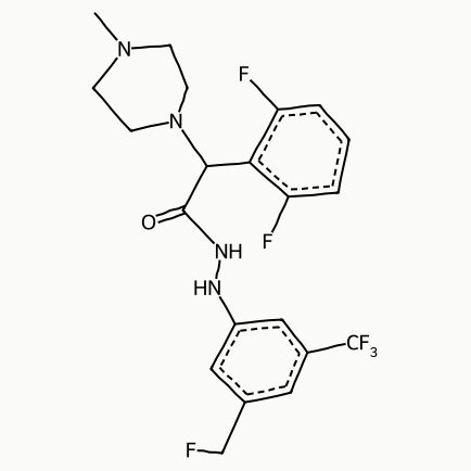 CN1CCN(C(C(=O)NNc2cc(CF)cc(C(F)(F)F)c2)c2c(F)cccc2F)CC1